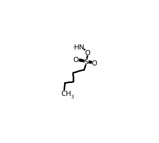 CCCCCS(=O)(=O)O[NH]